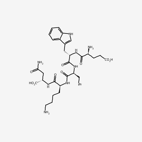 CC(C)C[C@H](NC(=O)[C@H](Cc1c[nH]c2ccccc12)NC(=O)[C@@H](N)CCC(=O)O)C(=O)N[C@@H](CCCCN)C(=O)N[C@@H](CC(N)=O)C(=O)O